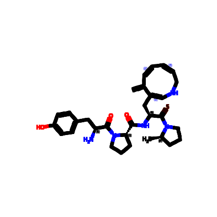 B[C@@H]1CCCN1C(=S)[C@H](C/C1=C/NC/C=C\C=C/C1=C)NC(=O)[C@@H]1CCCN1C(=O)[C@@H](N)Cc1ccc(O)cc1